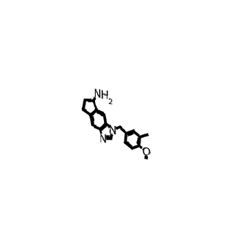 COc1ccc(Cn2cnc3cc4c(cc32)C(N)CC4)cc1C